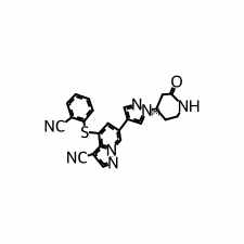 N#Cc1ccccc1Sc1cc(-c2cnn([C@@H]3CCNC(=O)C3)c2)cn2ncc(C#N)c12